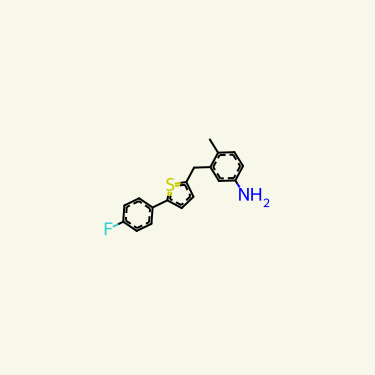 Cc1ccc(N)cc1Cc1ccc(-c2ccc(F)cc2)s1